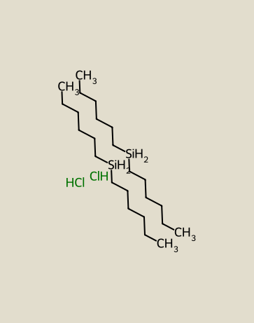 CCCCCC[SiH2]CCCCCC.CCCCCC[SiH2]CCCCCC.Cl.Cl